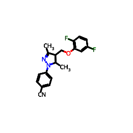 CC1=NN(c2ccc(C#N)cc2)C(C)C1COc1cc(F)ccc1F